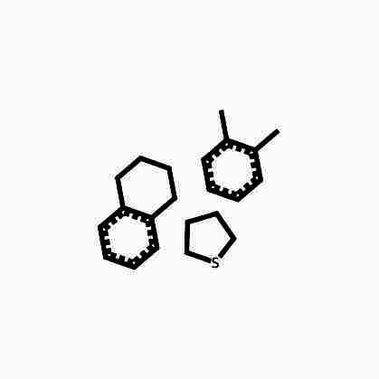 C1CCSC1.Cc1ccccc1C.c1ccc2c(c1)CCCC2